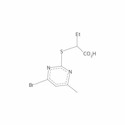 CCC(Sc1nc(C)cc(Br)n1)C(=O)O